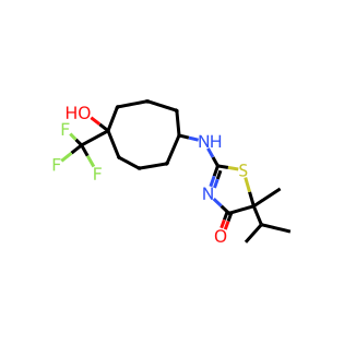 CC(C)C1(C)SC(NC2CCCC(O)(C(F)(F)F)CCC2)=NC1=O